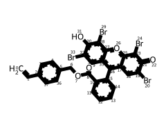 C=Cc1ccc(COC(=O)c2ccccc2-c2c3cc(Br)c(=O)c(Br)c-3oc3c(Br)c(O)c(Br)cc23)cc1